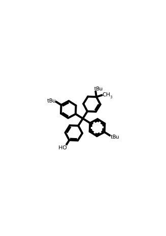 CC(C)(C)C1=CCC(C(c2ccc(C(C)(C)C)cc2)(C2C=CC(O)=CC2)C2C=CC(C)(C(C)(C)C)CC2)C=C1